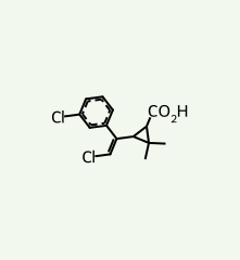 CC1(C)C(C(=O)O)C1/C(=C/Cl)c1cccc(Cl)c1